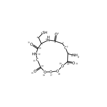 NC1CCC(=O)NC(CS)C(=O)NCC(=O)OOOOC1=O